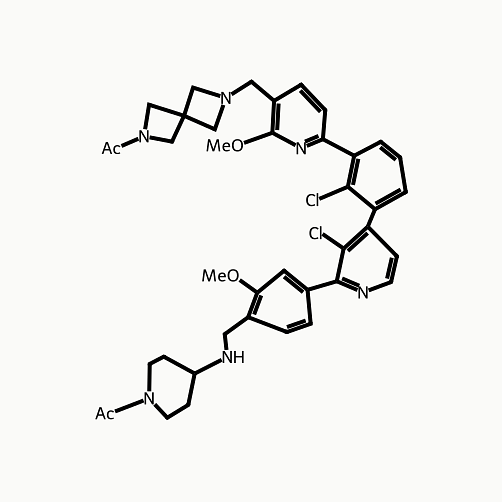 COc1cc(-c2nccc(-c3cccc(-c4ccc(CN5CC6(C5)CN(C(C)=O)C6)c(OC)n4)c3Cl)c2Cl)ccc1CNC1CCN(C(C)=O)CC1